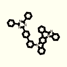 c1ccc(-c2nc(-c3ccccc3)nc(-c3ccc(-c4cccc(-n5c6ccccc6c6cc7c(cc65)c5ccccc5c5nc6ccccc6n75)c4)cc3)n2)cc1